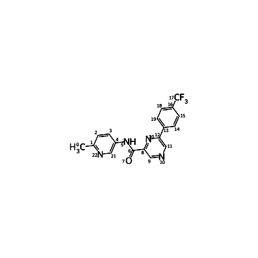 Cc1ccc(NC(=O)c2cncc(-c3ccc(C(F)(F)F)cc3)n2)cn1